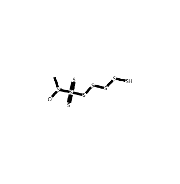 C[S+]([O-])S(=S)(=S)SSSSS